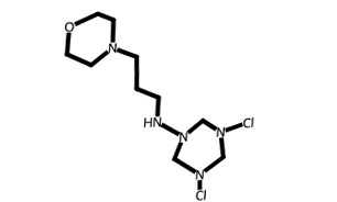 ClN1CN(Cl)CN(NCCCN2CCOCC2)C1